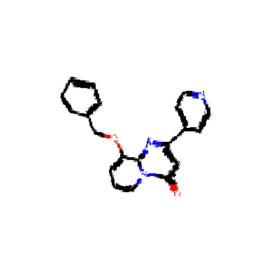 O=c1cc(-c2ccncc2)nc2c(OCc3ccccc3)cccn12